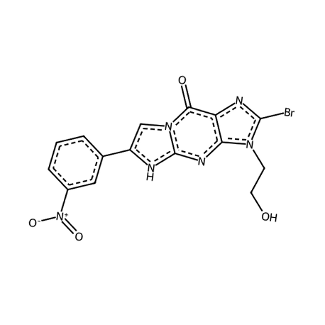 O=c1c2nc(Br)n(CCO)c2nc2[nH]c(-c3cccc([N+](=O)[O-])c3)cn12